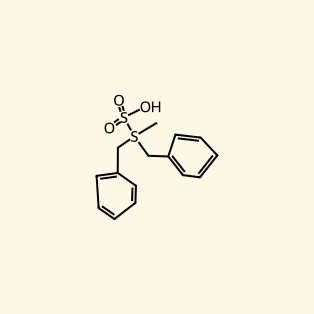 CS(Cc1ccccc1)(Cc1ccccc1)S(=O)(=O)O